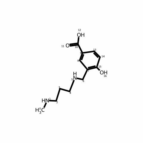 CNCCCNCc1cc(C(=O)O)ccc1O